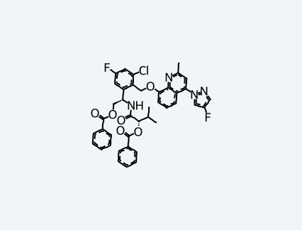 Cc1cc(-n2cc(F)cn2)c2cccc(OCc3c(Cl)cc(F)cc3[C@H](COC(=O)c3ccccc3)NC(=O)[C@@H](OC(=O)c3ccccc3)C(C)C)c2n1